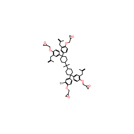 C=C(C)Cc1cc(C2(c3ccc(OCC4CO4)c(CC)c3)CCC(C(C)(C)C3CCC(c4ccc(OCC5CO5)c(CC(=C)C)c4)(c4ccc(OCC5CO5)c(CC(=C)C)c4)CC3)CC2)ccc1OCC1CO1